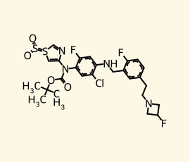 CC(C)(C)OC(=O)N(C1=CS(=S(=O)=O)C=N1)c1cc(Cl)c(NCc2cc(CCN3CC(F)C3)ccc2F)cc1F